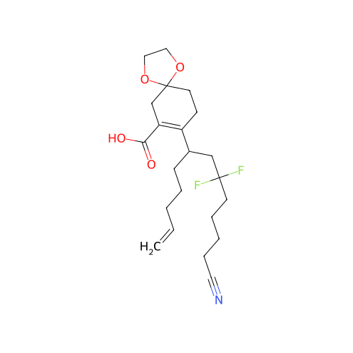 C=CCCCC(CC(F)(F)CCCCC#N)C1=C(C(=O)O)CC2(CC1)OCCO2